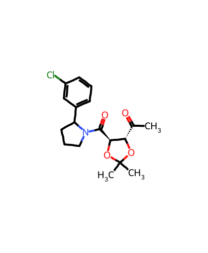 CC(=O)[C@@H]1OC(C)(C)O[C@H]1C(=O)N1CCCC1c1cccc(Cl)c1